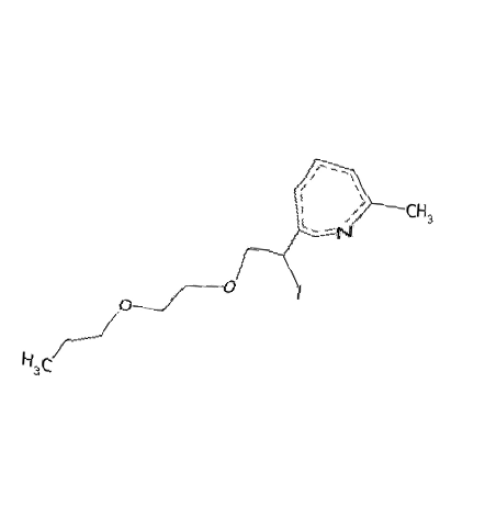 CCCOCCOCC(I)c1cccc(C)n1